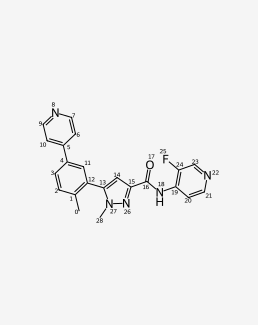 Cc1ccc(-c2ccncc2)cc1-c1cc(C(=O)Nc2ccncc2F)nn1C